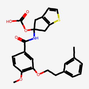 COc1ccc(C(=O)NC2(OC(=O)O)Cc3ccsc3C2)cc1OCCc1cccc(C)c1